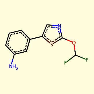 Nc1cccc(-c2cnc(OC(F)F)s2)c1